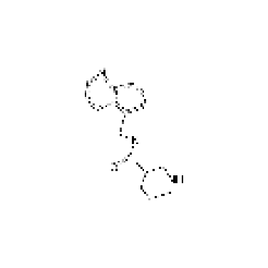 O=C(NCc1cccc2ncccc12)C1CCCNC1